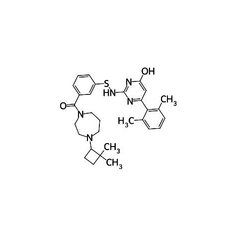 Cc1cccc(C)c1-c1cc(O)nc(NSc2cccc(C(=O)N3CCCN(C4CCC4(C)C)CC3)c2)n1